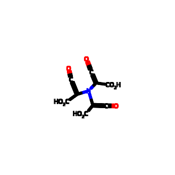 O=C=C(C(=O)O)N(C(=C=O)C(=O)O)C(=C=O)C(=O)O